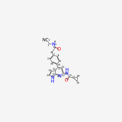 CN(CC#N)C(=O)Cc1ccc(C2C=C(NC(=O)C3CC3)N=C3NC=CC32)cc1